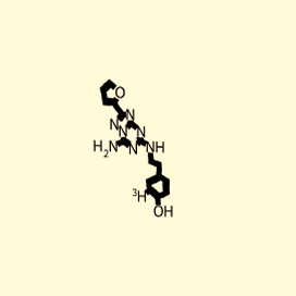 [3H]c1cc(CCNc2nc(N)n3nc(-c4ccco4)nc3n2)ccc1O